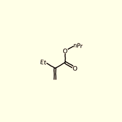 C=C(CC)C(=O)OCCC